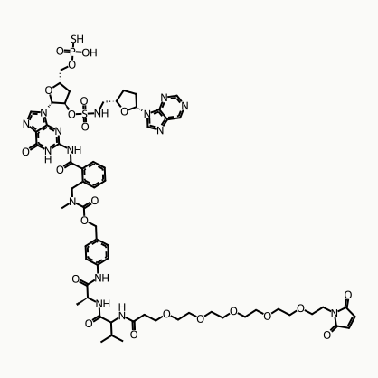 CC(C)C(NC(=O)CCOCCOCCOCCOCCOCCN1C(=O)C=CC1=O)C(=O)N[C@@H](C)C(=O)Nc1ccc(COC(=O)N(C)Cc2ccccc2C(=O)Nc2nc3c(ncn3[C@@H]3O[C@H](COP(=O)(O)S)C[C@H]3OS(=O)(=O)NC[C@@H]3CC[C@H](n4cnc5cncnc54)O3)c(=O)[nH]2)cc1